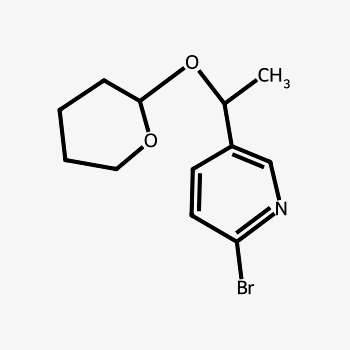 CC(OC1CCCCO1)c1ccc(Br)nc1